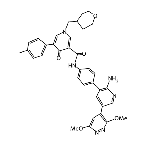 COc1cc(-c2cnc(N)c(-c3ccc(NC(=O)c4cn(CC5CCOCC5)cc(-c5ccc(C)cc5)c4=O)cc3)c2)c(OC)nn1